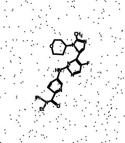 CCN(C(=O)c1ccc(Nc2ncc(F)c(-c3cnc(C)n3C3CCOCC3)n2)cn1)C(C)C